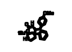 COc1ccc(CC(NC(=O)OC(C)(C)C)C2(c3ccccc3)CCNCC2)cc1